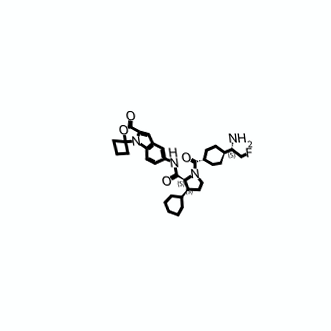 N[C@H](CF)[C@H]1CC[C@H](C(=O)N2CC[C@@H](C3CCCCC3)[C@H]2C(=O)Nc2ccc3c(c2)cc2n3C3(CCC3)OC2=O)CC1